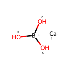 OB(O)O.[Ca]